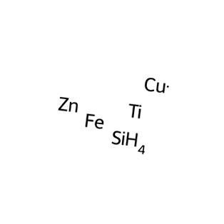 [Cu].[Fe].[SiH4].[Ti].[Zn]